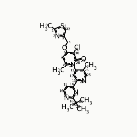 Cc1nc(COc2cc(C)n(-c3cc(-c4ccnc(C(C)(C)C)n4)ncc3C)c(=O)c2Cl)cs1